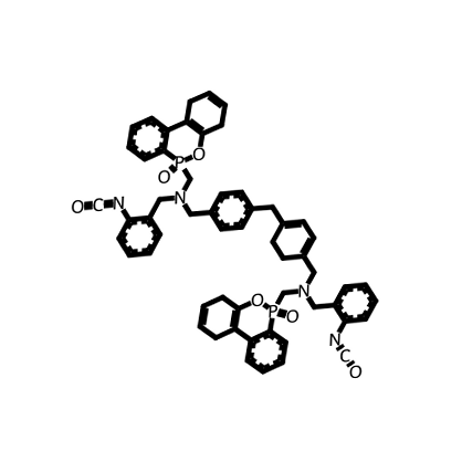 O=C=Nc1ccccc1CN(CC1=CC=C(Cc2ccc(CN(Cc3ccccc3N=C=O)CP3(=O)OC4=C(CC=CC4)c4ccccc43)cc2)CC1)CP1(=O)OC2=C(CC=CC2)c2ccccc21